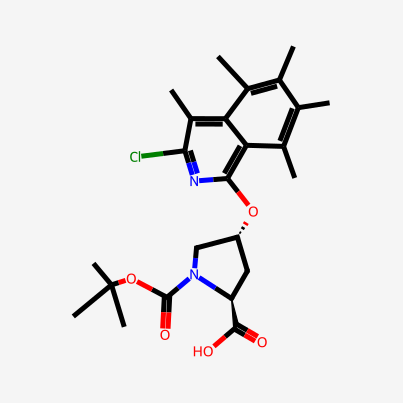 Cc1c(C)c(C)c2c(C)c(Cl)nc(O[C@@H]3C[C@@H](C(=O)O)N(C(=O)OC(C)(C)C)C3)c2c1C